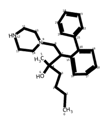 CCCCC(C)(O)C(CN1CCNCC1)c1ccccc1-c1ccccc1